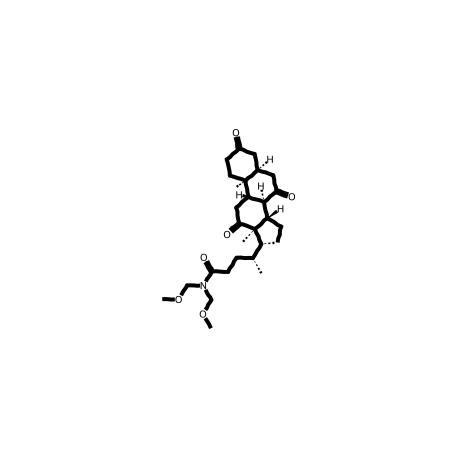 COCN(COC)C(=O)CC[C@@H](C)[C@H]1CC[C@H]2[C@@H]3C(=O)C[C@@H]4CC(=O)CC[C@]4(C)[C@H]3CC(=O)[C@]12C